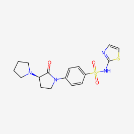 O=C1[C@H](N2CCCC2)CCN1c1ccc(S(=O)(=O)Nc2nccs2)cc1